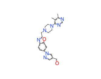 Cc1ncnc(N2CCN(Cc3nc4ccc(-n5cc(C=O)cn5)cc4o3)CC2)c1C